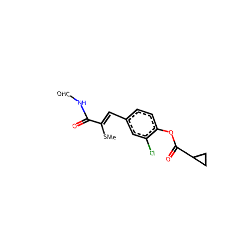 CS/C(=C\c1ccc(OC(=O)C2CC2)c(Cl)c1)C(=O)NC=O